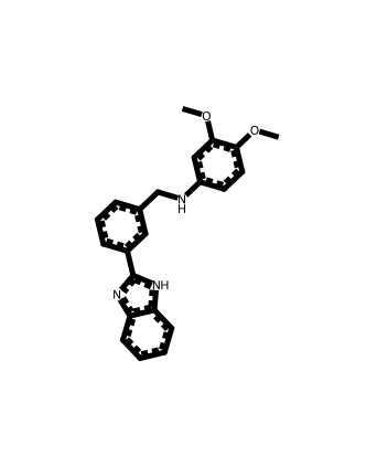 COc1ccc(NCc2cccc(-c3nc4ccccc4[nH]3)c2)cc1OC